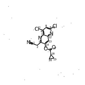 N#CCc1nc2c(Cl)cc(Cl)nc2cc1OC(=O)C1CC1